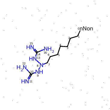 CCCCCCCCCCCCCCCCN(NC(=N)N)NC(=N)N